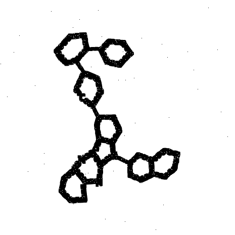 c1ccc(-c2ccccc2-c2ccc(-c3ccc4c(c3)c3nc5ccccc5nc3n4-c3ccc4ccccc4c3)cc2)cc1